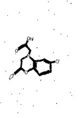 O=C(O)CN1CC(=O)Oc2ccc(Cl)cc21